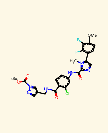 COc1ccc(-c2cnc(C(=O)Nc3ccc(C(=O)NCc4cnn(C(=O)OC(C)(C)C)c4)c(Cl)c3)n2C)c(F)c1F